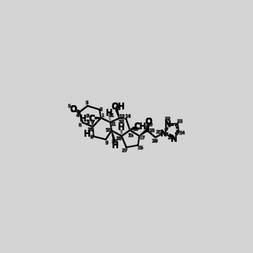 C[C@]12CCC(=O)C[C@@H]1CC[C@@H]1[C@@H]2[C@@H](O)C[C@]2(C)[C@@H](C(=O)Cn3nccn3)CC[C@@H]12